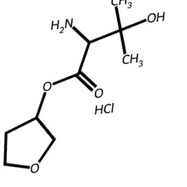 CC(C)(O)C(N)C(=O)OC1CCOC1.Cl